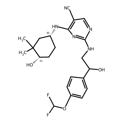 CC1(C)C[C@H](Nc2nc(NCC(O)c3ccc(OC(F)F)cc3)ncc2C#N)CC[C@@H]1O